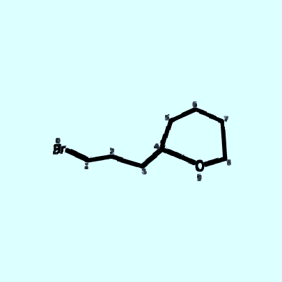 BrCCCC1CCCCO1